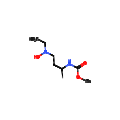 CC(CCN(O)CC(=O)O)NC(=O)OC(C)(C)C